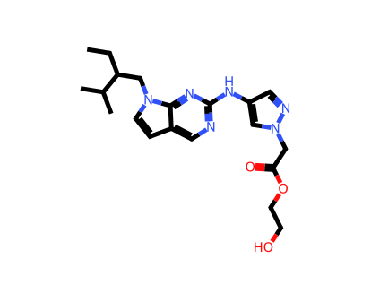 CCC(Cn1ccc2cnc(Nc3cnn(CC(=O)OCCO)c3)nc21)C(C)C